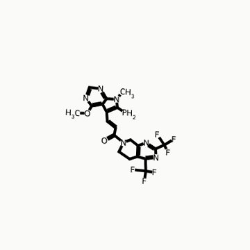 COc1ncnc2c1c(/C=C/C(=O)N1CCc3c(nc(C(F)(F)F)nc3C(F)(F)F)C1)c(P)n2C